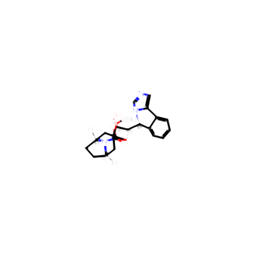 CC(C)(C)OC(=O)N1[C@@H]2CC[C@H]1CC1(C[C@@H]([C@@H]3c4ccccc4-c4cncn43)[C@H]1O)C2